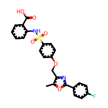 Cc1oc(-c2ccc(F)cc2)nc1COc1ccc(S(=O)(=O)Nc2ccccc2C(=O)O)cc1